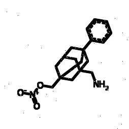 NCC12CC3CC(CO[N+](=O)[O-])(C1)CC(c1ccccc1)(C3)C2